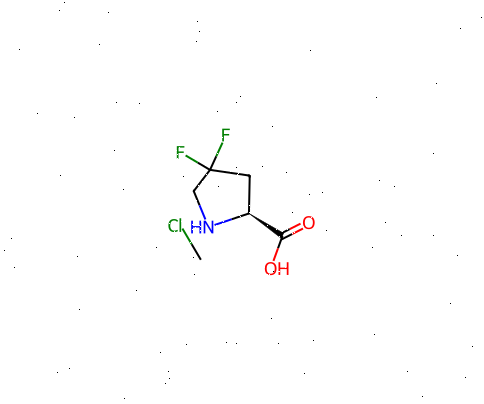 CCl.O=C(O)[C@@H]1CC(F)(F)CN1